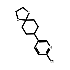 N#Cc1ccc(C2CCC3(CC2)OCCO3)cn1